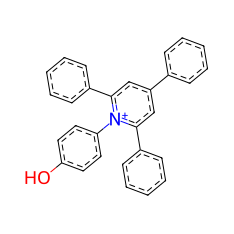 Oc1ccc(-[n+]2c(-c3ccccc3)cc(-c3ccccc3)cc2-c2ccccc2)cc1